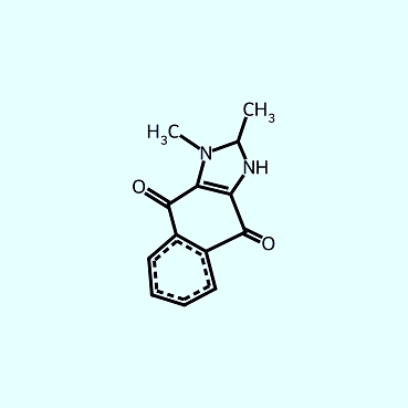 CC1NC2=C(C(=O)c3ccccc3C2=O)N1C